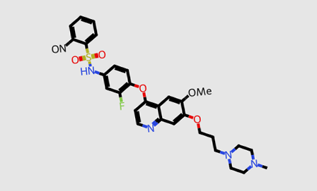 COc1cc2c(Oc3ccc(NS(=O)(=O)c4ccccc4N=O)cc3F)ccnc2cc1OCCCN1CCN(C)CC1